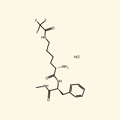 CNC(=O)[C@H](Cc1ccccc1)NC(=O)[C@@H](N)CCCCNC(=O)C(F)(F)F.Cl